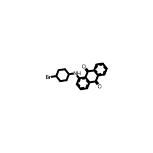 O=C1c2ccccc2C(=O)c2c(NC3CCC(Br)CC3)cccc21